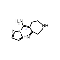 N=C1CCNCC/C1=C(\N)n1cccn1